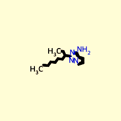 CCCCCCCC(CC)c1nc(N)c2cccn2n1